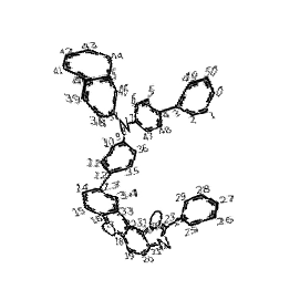 c1ccc(-c2ccc(N(c3ccc(-c4ccc5oc6ccc7nc(-c8ccccc8)oc7c6c5c4)cc3)c3ccc4ccccc4c3)cc2)cc1